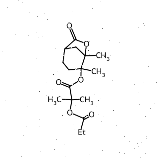 CCC(=O)OC(C)(C)C(=O)OC1(C)CCC2CC1(C)OC2=O